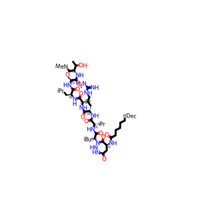 CCCCCCCCCCCCCCCC(=O)N[C@H]1CC(=O)NNN([C@H](C(=O)N[C@H](C(=O)N[C@@H](CCCNC(=N)N)C(=O)N[C@H](C(=O)N[C@@H](CC(C)C)C(=O)N[C@@H](C)C(=O)N[C@H](C(=O)NC)C(C)O)C(C)C)C(C)C)[C@@H](C)CC)C1=O